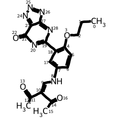 CCCOc1ccc(NC=C(C(C)=O)C(C)=O)cc1C1=NC(=O)C2=NN=NC2=N1